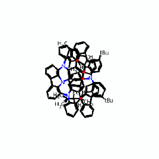 C=C(C)C(C)(CC)[C@H](C)B1c2cc(C(C)(C)C)ccc2N2c3ccc(C(C)(C)C)cc3B(c3c(C)cc(C)cc3C)c3cc(-n4c5c(N6c7ccccc7C7(c8ccccc8-c8ccccc87)c7ccccc76)cccc5c5cccc(N6c7ccccc7C7(c8ccccc8-c8ccccc87)c7ccccc76)c54)cc1c32